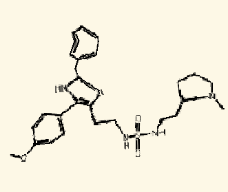 COc1ccc(-c2[nH]c(-c3ccccc3)nc2CCNS(=O)(=O)NCCC2CCCN2C)cc1